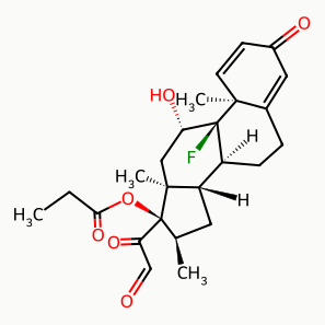 CCC(=O)O[C@]1(C(=O)C=O)[C@H](C)C[C@H]2[C@@H]3CCC4=CC(=O)C=C[C@]4(C)[C@@]3(F)[C@@H](O)C[C@@]21C